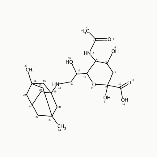 CC(=O)NC1C(O)CC(O)(C(=O)O)OC1C(O)CNC12CC3CC(C)(CC(C)(C3)C1)C2